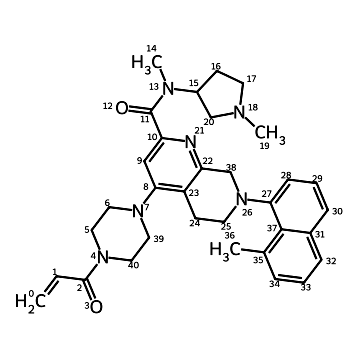 C=CC(=O)N1CCN(c2cc(C(=O)N(C)C3CCN(C)C3)nc3c2CCN(c2cccc4cccc(C)c24)C3)CC1